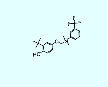 CC(C)(C)c1cc(OC[Si](C)(C)c2cccc(C(F)(F)F)c2)ccc1O